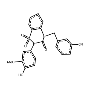 COc1cc(N2C(=O)N(Cc3cccc(C#N)c3)c3ccccc3S2(=O)=O)ccc1O